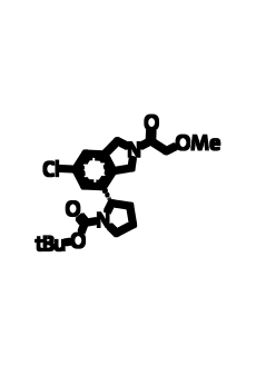 COCC(=O)N1Cc2cc(Cl)cc([C@@H]3CCCN3C(=O)OC(C)(C)C)c2C1